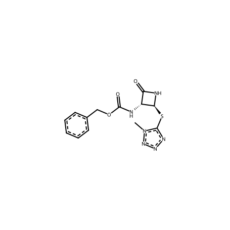 Cn1nnnc1S[C@@H]1NC(=O)[C@H]1NC(=O)OCc1ccccc1